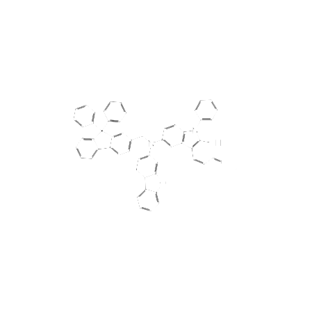 C=C/C=C\c1c(C)n(-c2ccccc2)c2ccc(N(Cc3ccc4c(c3)C(c3ccccc3)(c3ccccc3)c3ccccc3-4)C3=CCC4C(=C3)Oc3ccccc34)cc12